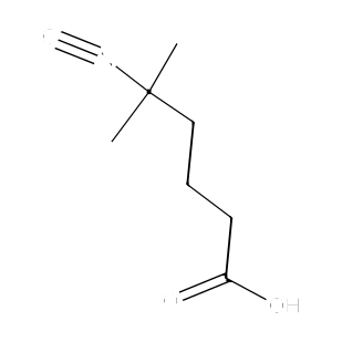 [C-]#[N+]C(C)(C)CCCC(=O)O